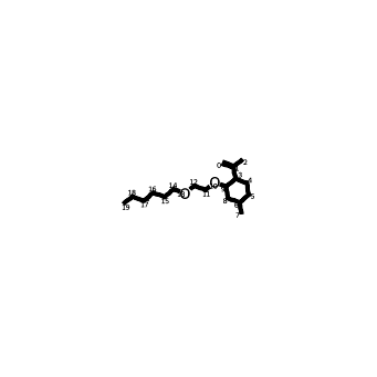 C=C(C)C1CCC(C)CC1OCCOCCC[CH]CC